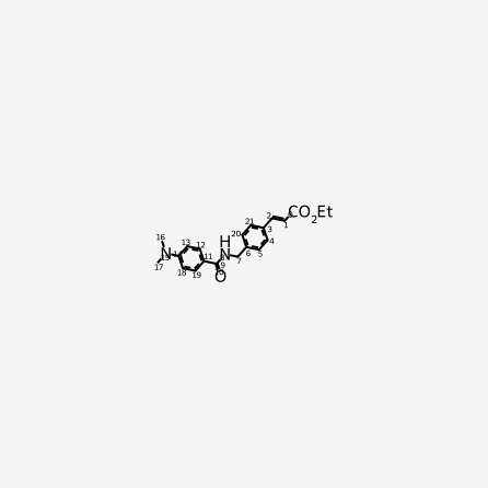 CCOC(=O)C=Cc1ccc(CNC(=O)c2ccc(N(C)C)cc2)cc1